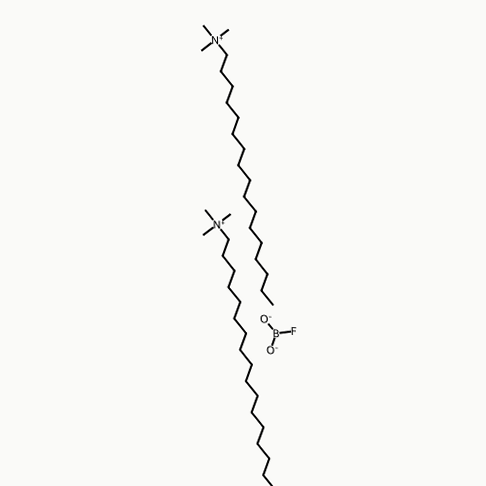 CCCCCCCCCCCCCCCCC[N+](C)(C)C.CCCCCCCCCCCCCCCCC[N+](C)(C)C.[O-]B([O-])F